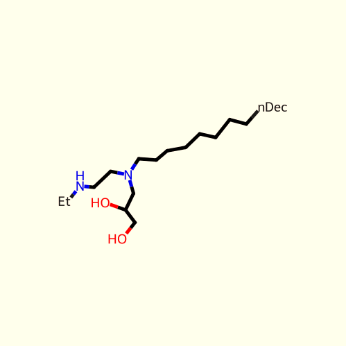 CCCCCCCCCCCCCCCCCCN(CCNCC)CC(O)CO